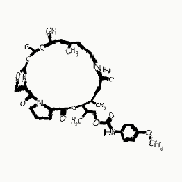 COc1ccc(NC(=O)OCC(C)C2OC(=O)C3CCCN3C(=O)c3coc(n3)CC(F)CC(O)/C=C(C)/C=C/CNC(=O)/C=C/C2C)cc1